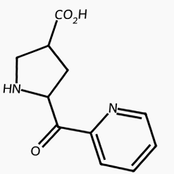 O=C(O)C1CNC(C(=O)c2ccccn2)C1